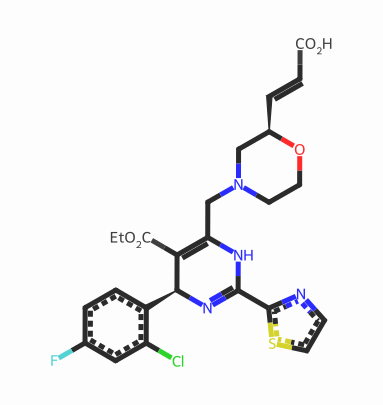 CCOC(=O)C1=C(CN2CCO[C@H](/C=C/C(=O)O)C2)NC(c2nccs2)=N[C@H]1c1ccc(F)cc1Cl